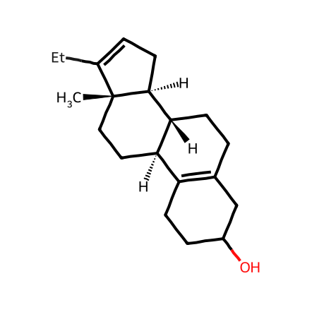 CCC1=CC[C@H]2[C@@H]3CCC4=C(CCC(O)C4)[C@H]3CC[C@]12C